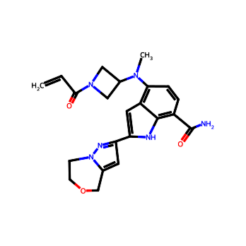 C=CC(=O)N1CC(N(C)c2ccc(C(N)=O)c3[nH]c(-c4cc5n(n4)CCOC5)cc23)C1